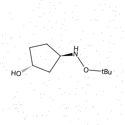 CC(C)(C)ON[C@@H]1CC[C@@H](O)C1